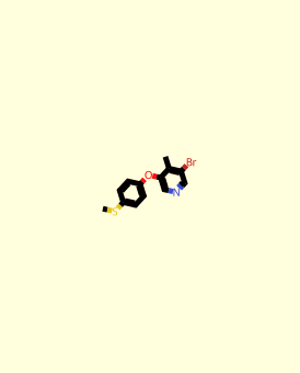 CSc1ccc(Oc2cncc(Br)c2C)cc1